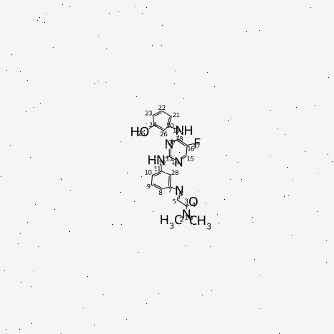 CN(C)C(=O)/C=N/c1cccc(Nc2ncc(F)c(Nc3cccc(O)c3)n2)c1